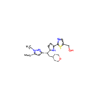 CSc1cc(C(CC2CCOCC2)c2ccc(-c3ncc(CO)s3)[nH]2)nn1C